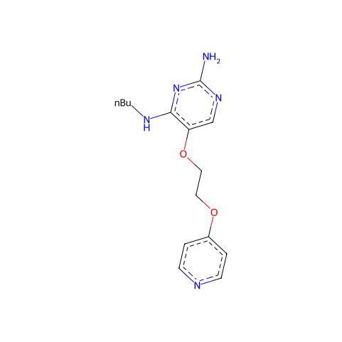 CCCCNc1nc(N)ncc1OCCOc1ccncc1